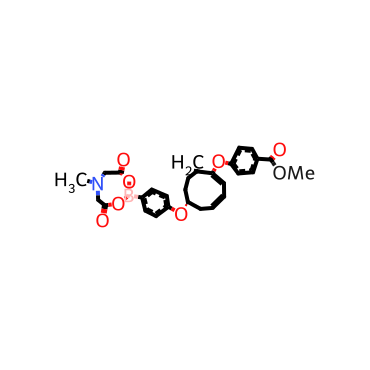 C=C1CC[C@@H](Oc2ccc(B3OC(=O)CN(C)CC(=O)O3)cc2)C/C=C\C=C/1Oc1ccc(C(=O)OC)cc1